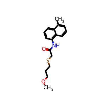 COCCCSCC(=O)Nc1cccc2c(C)cccc12